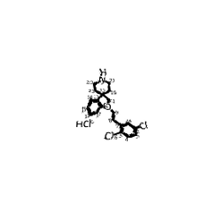 Cl.Clc1ccc(Cl)c(CCOCC2(c3ccccc3)CCNCC2)c1